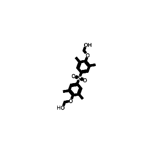 Cc1cc(S(=O)(=O)c2cc(C)c(OCO)c(C)c2)cc(C)c1OCO